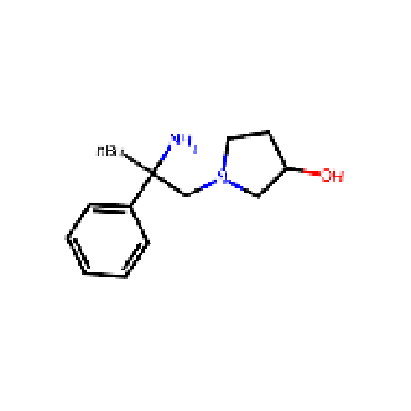 CCCCC(N)(CN1CCC(O)C1)c1ccccc1